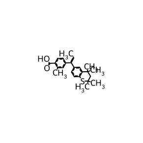 CC=C(c1ccc(C(=O)O)c(C)c1)c1ccc2c(c1)C(C)(C)CC(C)(C)S2